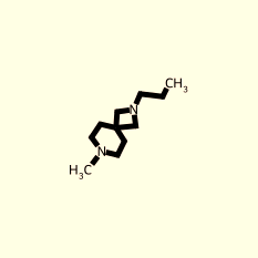 CCCN1CC2(CCN(C)CC2)C1